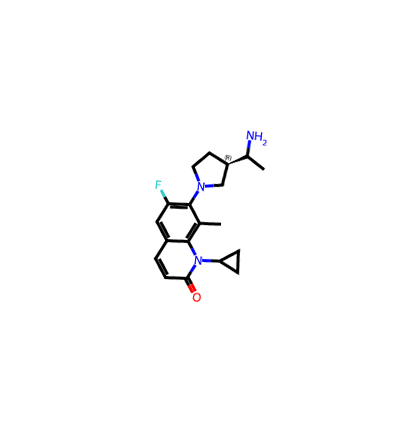 Cc1c(N2CC[C@@H](C(C)N)C2)c(F)cc2ccc(=O)n(C3CC3)c12